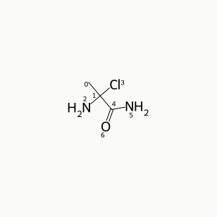 CC(N)(Cl)C(N)=O